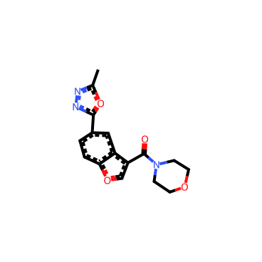 Cc1nnc(-c2ccc3occ(C(=O)N4CCOCC4)c3c2)o1